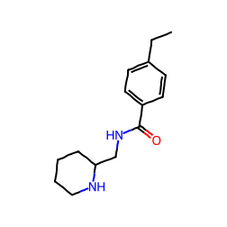 CCc1ccc(C(=O)NCC2CCCCN2)cc1